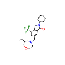 CCC1COCCN(Cc2cc3c(c(C(F)(F)F)c2)CN(c2ccccc2)C3=O)C1